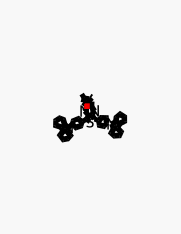 CC1C2c3nc4c(C5=CCC(n6c7ccccc7c7ccccc76)C=C5)sc(-c5ccc(-n6c7ccccc7c7ccccc76)cc5)c4nc3C3C2[C@]13C